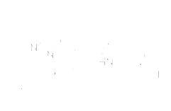 CC(C)CC1=NC2(CCC(C(C)(C)C)CC2)N([C@H](C)c2ccc(C(=O)NCCC(=O)O)cc2)C1=O